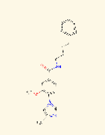 COc1cc(C(=O)NCCCCc2ccccc2)ccc1-n1cnc(C)c1